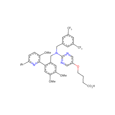 COc1cc(CN(Cc2cc(C(F)(F)F)cc(C(F)(F)F)c2)c2ncc(OCCCC(=O)O)cn2)c(-c2nc(C(C)C)ccc2OC)cc1OC